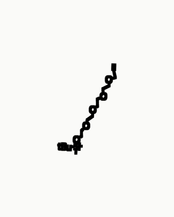 C#CCOCCOCCOCCOCCO[Si](C)(C)C(C)(C)C